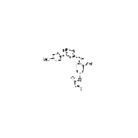 Cc1cc(OC(N)=O)ccc1Nc1cc(-c2ccc(O)cc2)[nH]n1